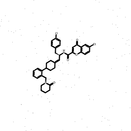 CCc1ccc2oc(C(=O)N[C@@H](C=C3CCC(c4ccccc4CN4CCCCC4=O)CC3)Cc3ccc(Cl)cc3)cc(=O)c2c1